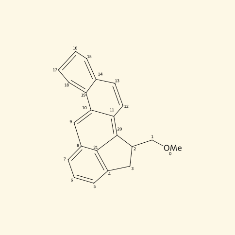 COCC1Cc2cccc3cc4c(ccc5ccccc54)c1c23